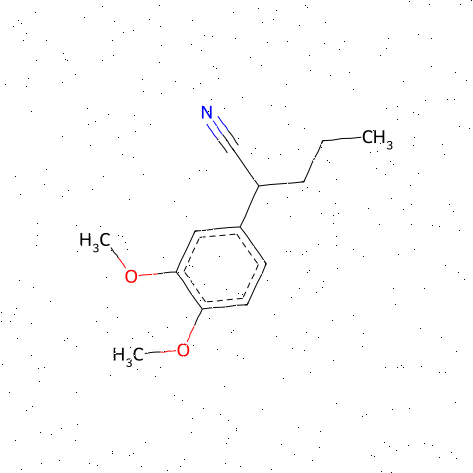 CCCC(C#N)c1ccc(OC)c(OC)c1